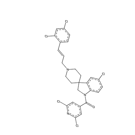 O=C(c1cc(Cl)nc(Cl)c1)N1CC2(CCN(C/C=C/c3ccc(Cl)cc3Cl)CC2)c2cc(Cl)ccc21